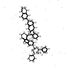 N/C(=N\C(=N/SC1=CCCC=C1)c1ccc2c3c(oc2c1)=CCCC=3n1c2ccccc2c2cc3ccc(-c4ccc5c(c4)CCC=C5)cc3cc21)c1ccccc1